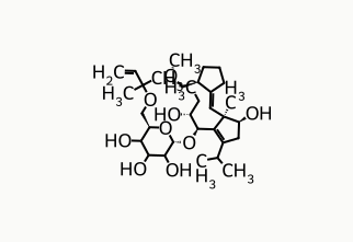 C=CC(C)(C)OC[C@H]1O[C@H](O[C@H](C2=C(C(C)C)C[C@H](O)[C@]2(C)/C=C2\CCC[C@@H]2COC)[C@H](O)CC)C(O)C(O)C1O